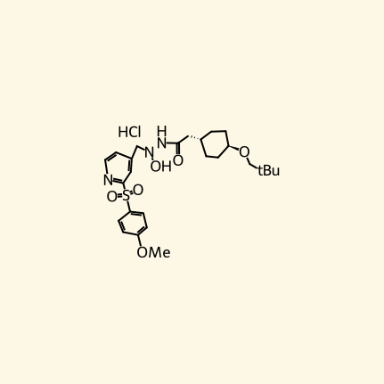 COc1ccc(S(=O)(=O)c2cc(CN(O)NC(=O)C[C@H]3CC[C@H](OCC(C)(C)C)CC3)ccn2)cc1.Cl